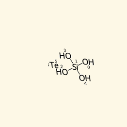 O[Si](O)(O)O.[Te]